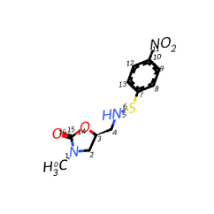 CN1C[C@H](CNSc2ccc([N+](=O)[O-])cc2)OC1=O